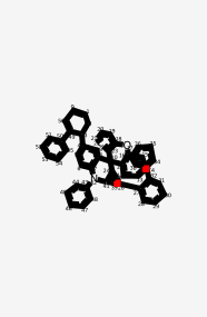 C1=CCC(c2ccc3c(c2)C2(c4ccccc4Oc4ccccc42)c2cc(-c4ccccc4-c4ccccc4)ccc2N3c2ccccc2)C(c2ccccc2)=C1